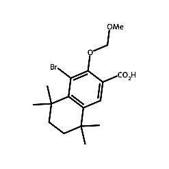 COCOc1c(C(=O)O)cc2c(c1Br)C(C)(C)CCC2(C)C